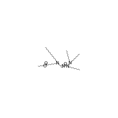 CCCCCCCCCCCCCCN(CCCCCCCC(=O)OCCCCC)CCC1CCN(C(=O)CN(CCCCCCCCC)CCN(CCCCCCCCC)CCCCCCCCC)C1